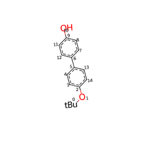 CC(C)(C)Oc1ccc(-c2ccc(O)cc2)cc1